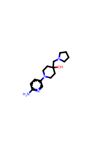 Nc1ccc(N2CCC(O)(CN3CCCC3)CC2)cn1